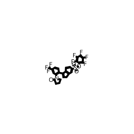 O=C1CCCN1c1cc(C(F)(F)F)ccc1C1=CCc2cc(S(=O)(=O)Oc3c(F)c(F)c(F)c(F)c3F)ccc21